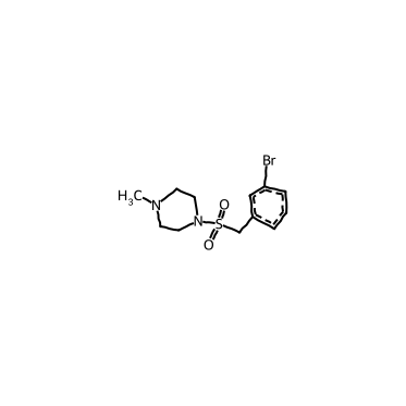 CN1CCN(S(=O)(=O)Cc2cccc(Br)c2)CC1